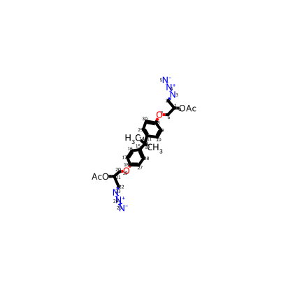 CC(=O)OC(CN=[N+]=[N-])COc1ccc(C(C)(C)c2ccc(OCC(CN=[N+]=[N-])OC(C)=O)cc2)cc1